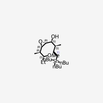 CCC[CH2][Sn](/[CH]=C/[C@H](C)[C@H](O)[C@H]1O[C@@H]1[C@H](C)[C@H](CC)OC)([CH2]CCC)[CH2]CCC